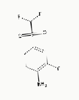 Nc1ccc(S(=O)(=O)C(F)F)cc1Cl